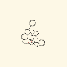 C[N](C)[Zr]1([N](C)C)[CH]2C(c3ccccc3)=Cc3cc(cc(Br)c32)Sc2ccc(Br)c3c2C=C(c2ccccc2)[CH]31